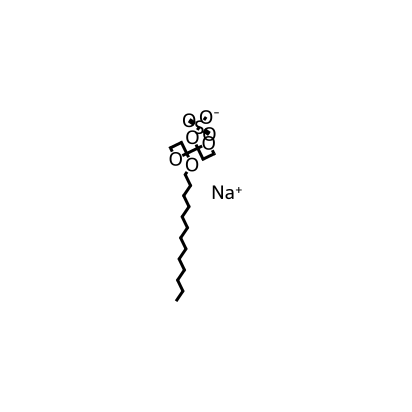 CCCCCCCCCCCCCOC1(C2(OS(=O)(=O)[O-])CCO2)CCO1.[Na+]